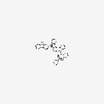 c1ccc(-c2nc(-n3c4ccccc4c4c5c6ccccc6n(-c6ccc7c(c6)oc6ccccc67)c5ccc43)c3ccccc3n2)cc1